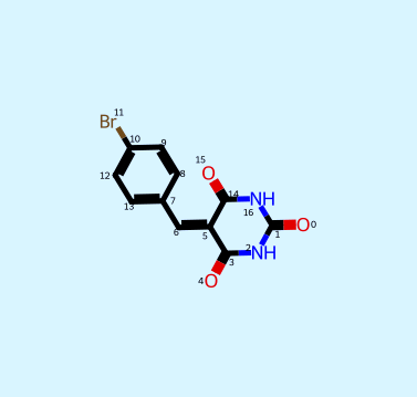 O=C1NC(=O)C(=Cc2ccc(Br)cc2)C(=O)N1